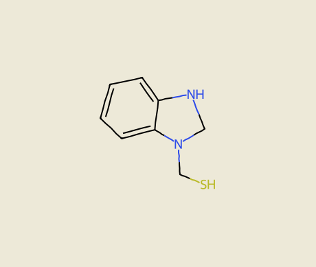 SCN1CNc2ccccc21